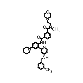 CN(CCN1CCOCC1)C(=O)c1cccc(C(=O)Nc2ccc(N3CCCCC3)cc2-c2cc(NCc3cccc(C(F)(F)F)c3)ccn2)c1